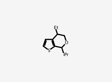 CCC1COC(C(C)C)c2sccc21